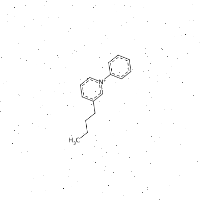 CCCCc1ccc[n+](-c2ccccc2)c1